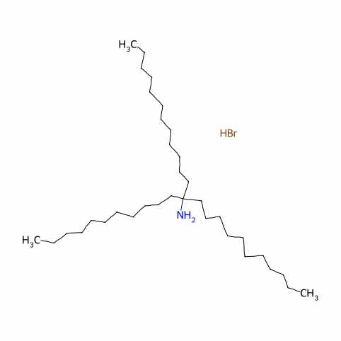 Br.CCCCCCCCCCCCC(N)(CCCCCCCCCCC)CCCCCCCCCCC